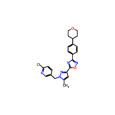 Cc1cc(-c2nc(-c3ccc(C4CCOCC4)cc3)no2)nn1Cc1ccc(Cl)nc1